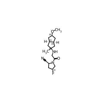 CO[C@@H]1C[C@@H]2C[C@@](C)(NCC(=O)N3C[C@@H](F)CC3C#N)C[C@@H]2C1